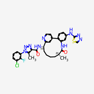 Cc1c(C(=O)N[C@H]2CCCC[C@@H](C)C(=O)Nc3cc(Nc4nncs4)ccc3-c3ccnc2c3)nnn1-c1cccc(Cl)c1F